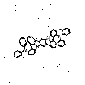 Cc1ccccc1N(c1ccccc1)c1cccc2c1c1cccc3c4cc5c(cc4n2c31)c1cccc2c3c(N(c4ccccc4)c4ccccc4)cccc3n5c12